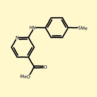 COC(=O)c1ccnc(Nc2ccc(SC)cc2)c1